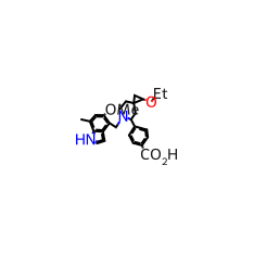 CCOC1CC12CCN(Cc1c(OC)cc(C)c3[nH]ccc13)C(c1ccc(C(=O)O)cc1)C2